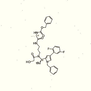 C[C@H](NC(=O)OCc1ccccc1)C(=O)NCCCN(C(=O)CO)[C@@H](c1cc(-c2cc(F)ccc2F)cn1Cc1ccccc1)C(C)(C)C